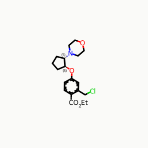 CCOC(=O)c1ccc(O[C@H]2CCC[C@@H]2N2CCOCC2)cc1CCl